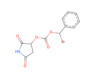 O=C1CC(OC(=O)OC(Br)c2ccccc2)C(=O)N1